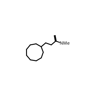 C=C(CCC1CCCCCCCC1)NC